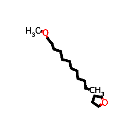 C1CCOC1.CCCCCCCCCCCCOC